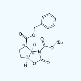 CC(C)(C)OC(=O)N1C(=O)O[C@H]2CC[C@@H](C(=O)OCc3ccccc3)[C@H]21